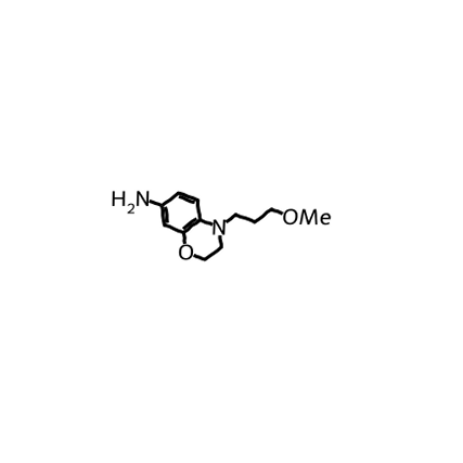 COCCCN1CCOc2cc(N)ccc21